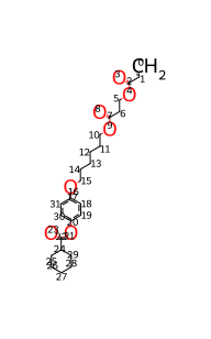 C=CC(=O)OCCC(=O)OCCCCCCOc1ccc(OC(=O)C2CCCCC2)cc1